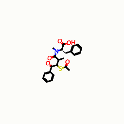 CC(=O)SC(C(=O)c1ccccc1)C(C)C(=O)N(C)[C@@H](Cc1ccccc1)C(=O)O